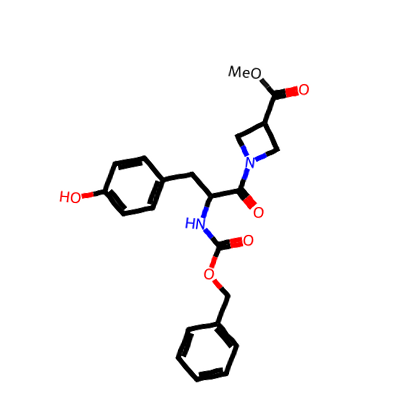 COC(=O)C1CN(C(=O)C(Cc2ccc(O)cc2)NC(=O)OCc2ccccc2)C1